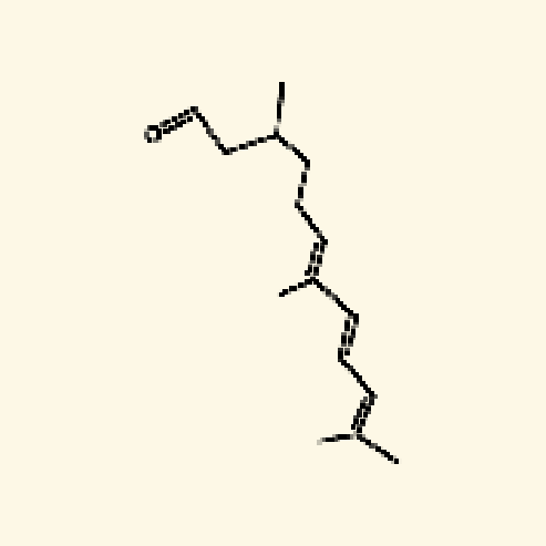 CC(C)=C/C=C/C(C)=C/CCC(C)CC=O